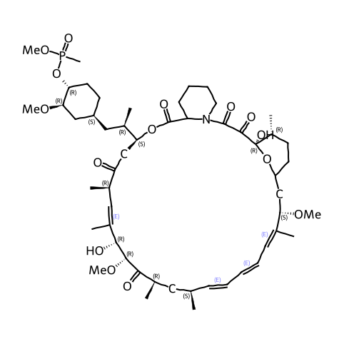 CO[C@H]1CC2CC[C@@H](C)[C@@](O)(O2)C(=O)C(=O)N2CCCCC2C(=O)O[C@H]([C@H](C)C[C@@H]2CC[C@@H](OP(C)(=O)OC)[C@H](OC)C2)CC(=O)[C@H](C)/C=C(\C)[C@@H](O)[C@@H](OC)C(=O)[C@H](C)C[C@H](C)/C=C/C=C/C=C/1C